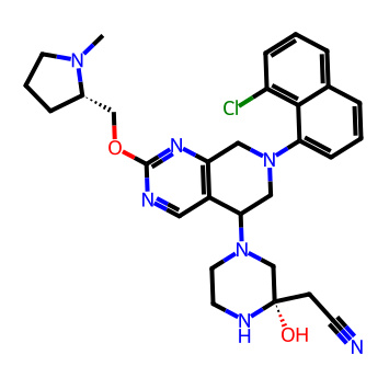 CN1CCC[C@H]1COc1ncc2c(n1)CN(c1cccc3cccc(Cl)c13)CC2N1CCN[C@](O)(CC#N)C1